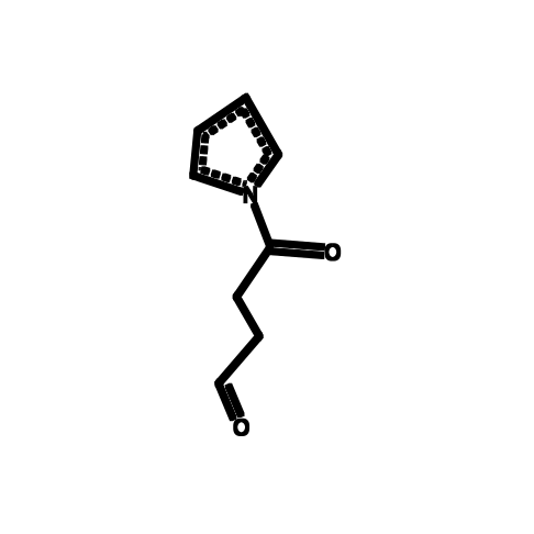 O=CCCC(=O)n1cccc1